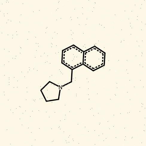 [c]1cccc2c(CN3CCCC3)cccc12